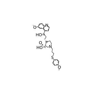 COc1ccc(SCCCN2CC[C@@H](CC[C@H](O)c3ccnc4ccc(OC)cc34)[C@@H](C(=O)O)C2)cc1